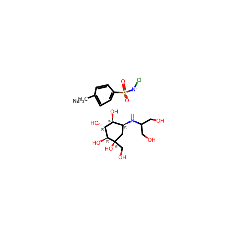 Cc1ccc(S(=O)(=O)[N-]Cl)cc1.OCC(CO)N[C@H]1C[C@](O)(CO)[C@@H](O)[C@H](O)[C@H]1O.[Na+]